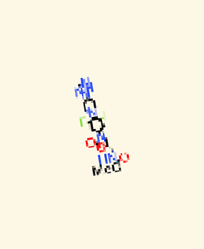 COC(=O)NC[C@H]1CN(c2cc(F)c(N3CCC(n4ncnn4)CC3)c(F)c2)C(=O)O1